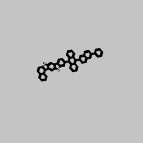 c1ccc(-c2ccc3cc(-c4c5ccccc5c(-c5ccc6c(c5)sc5cc7c(cc56)sc5ccc6ccccc6c57)c5ccccc45)ccc3c2)cc1